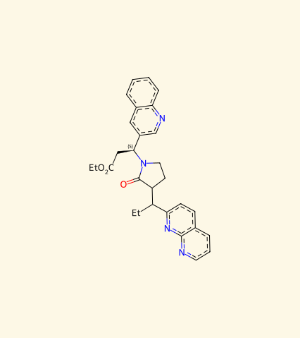 CCOC(=O)C[C@@H](c1cnc2ccccc2c1)N1CCC(C(CC)c2ccc3cccnc3n2)C1=O